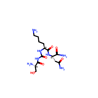 NCCCC[C@H](NC(=O)NC(=O)[C@@H](N)CO)C(=O)N[C@@H](CC(N)=O)C(N)=O